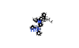 C/C=C\c1c(CC)c2c(n1C1=CC(C3=NC(c4ccccc4)NC(c4ccccc4)=N3)CC=C1)=CC1C(C=2)c2ccccc2C1(C)C